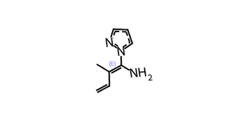 C=C/C(C)=C(\N)n1cccn1